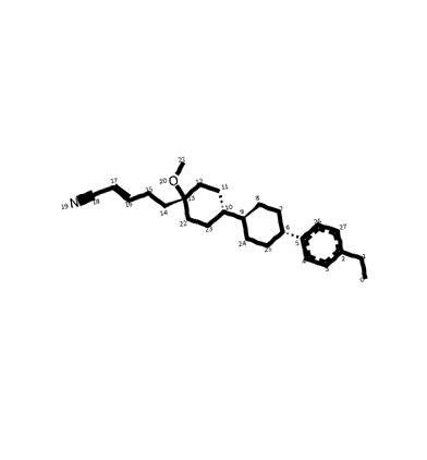 CCc1ccc([C@H]2CC[C@H]([C@H]3CC[C@@](CCC=CC#N)(OC)CC3)CC2)cc1